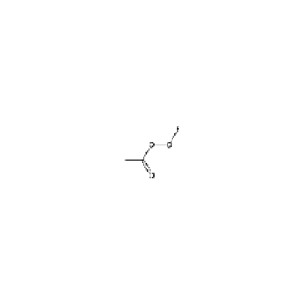 CC(=O)OOF